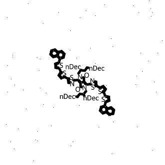 CCCCCCCCCCCCC(CCCCCCCCCC)CN1C(=O)C2=C(c3ncc(-c4ccc(-c5ccc(-c6cccc7ccccc67)s5)s4)s3)N(CC(CCCCCCCCCC)CCCCCCCCCCCC)C(=O)C2=C1c1ncc(-c2ccc(-c3ccc(-c4cccc5ccccc45)s3)s2)s1